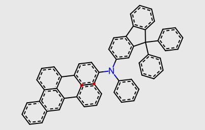 c1ccc(-c2cc3ccccc3c3cccc(-c4ccc(N(c5ccccc5)c5ccc6c(c5)C(c5ccccc5)(c5ccccc5)c5ccccc5-6)cc4)c23)cc1